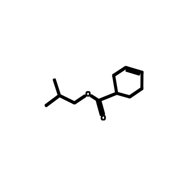 CC(C)COC(=O)C1CC=CCC1